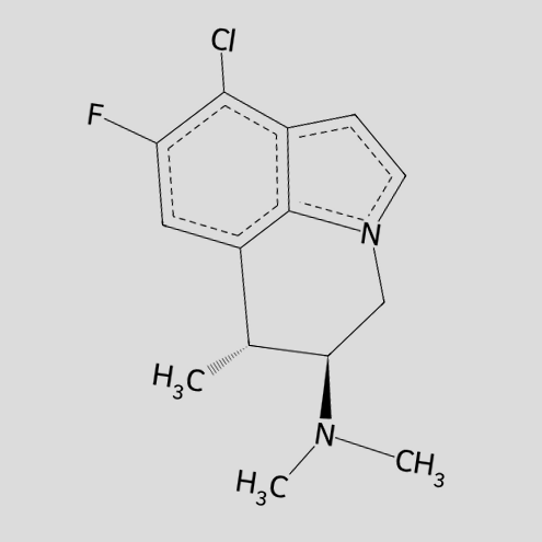 C[C@@H]1c2cc(F)c(Cl)c3ccn(c23)C[C@H]1N(C)C